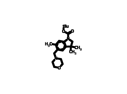 Cc1cc2c(cc1CN1CCOCC1)C(C)(C)CN2C(=O)OC(C)(C)C